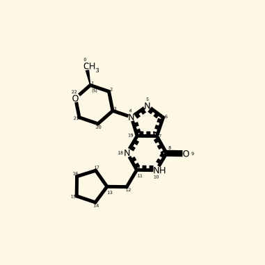 C[C@H]1CC(n2ncc3c(=O)[nH]c(CC4CCCC4)nc32)CCO1